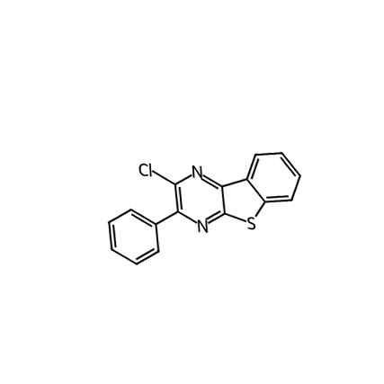 Clc1nc2c(nc1-c1ccccc1)sc1ccccc12